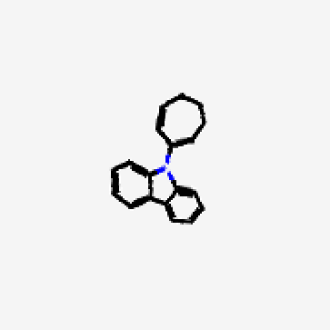 C1=CC(n2c3ccccc3c3ccccc32)CCCC1